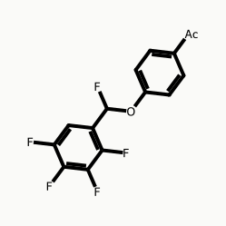 CC(=O)c1ccc(OC(F)c2cc(F)c(F)c(F)c2F)cc1